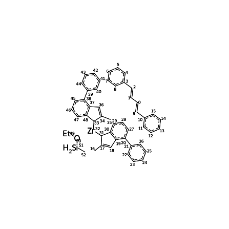 C(C=Cc1ccccc1)=Cc1ccccc1.CC1=Cc2c(-c3ccccc3)cccc2[CH]1[Zr][CH]1C(C)=Cc2c(-c3ccccc3)cccc21.CCO[SiH2]C